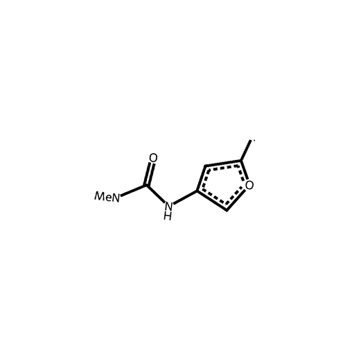 [CH2]c1cc(NC(=O)NC)co1